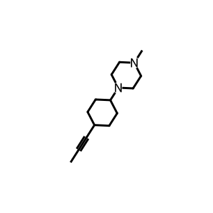 CC#CC1CCC(N2CCN(C)CC2)CC1